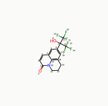 O=c1ccc2cc(C(O)(C(F)(F)F)C(F)(F)F)cc3c2n1CCC3